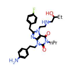 CCCn1c(=O)c2c(nc(Cc3ccc(F)cc3)n2CCNCC(O)CC)n(CCc2ccc(N)cc2)c1=O